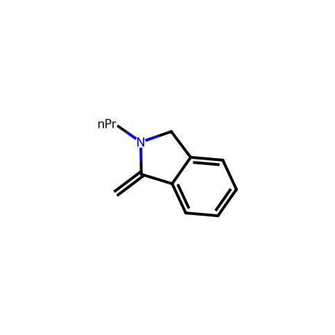 C=C1c2ccccc2CN1CCC